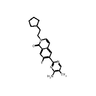 Nc1nc(-c2cc3ccn(CCC4CCCC4)c(=O)c3cc2F)ncc1C(F)(F)F